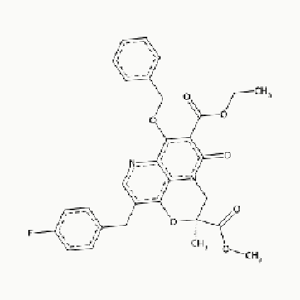 CCOC(=O)c1c(OCc2ccccc2)c2ncc(Cc3ccc(F)cc3)c3c2n(c1=O)C[C@@](C)(C(=O)OC)O3